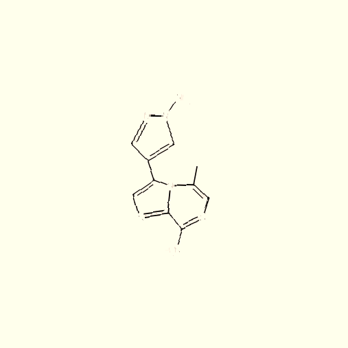 Bc1cnc(N)c2ncc(-c3cnn(N)c3)n12